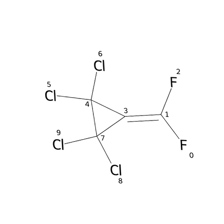 FC(F)=C1C(Cl)(Cl)C1(Cl)Cl